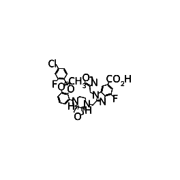 C[C@]1(c2ccc(Cl)cc2F)Oc2cccc(N3CCN(Cc4nc5c(F)cc(C(=O)O)cc5n4Cc4cocn4)[C@H]4COC[C@H]43)c2O1